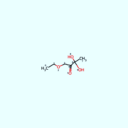 CCOCC(=O)C(C)(O)O